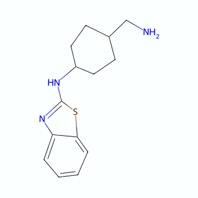 NCC1CCC(Nc2nc3ccccc3s2)CC1